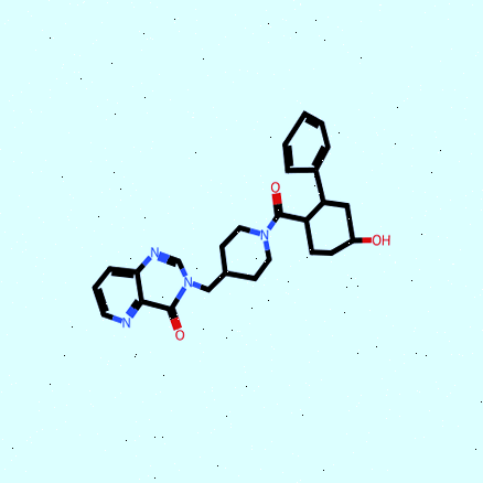 O=C(C1CCC(O)CC1c1ccccc1)N1CCC(Cn2cnc3cccnc3c2=O)CC1